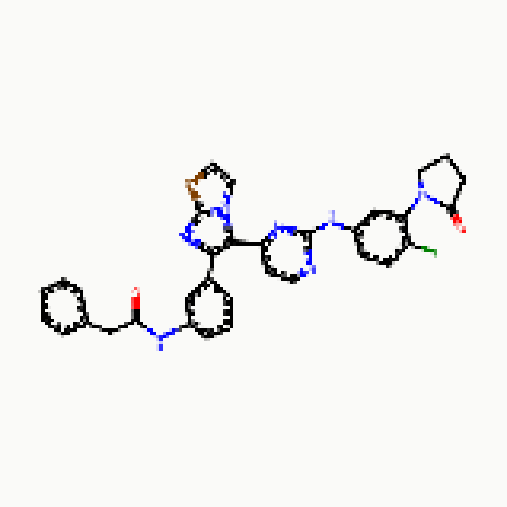 O=C(Cc1ccccc1)Nc1cccc(-c2nc3sccn3c2-c2ccnc(Nc3ccc(F)c(N4CCCC4=O)c3)n2)c1